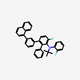 CC(C)(C)N(c1ccccc1F)c1c(F)ccc(-c2cccc(-c3cccc4ccccc34)c2)c1-c1ccccc1